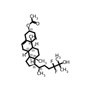 CC(=O)O[C@H]1CC[C@@]2(C)C(=CC[C@H]3[C@@H]4CC[C@H]([C@H](C)CCC(F)(F)C(C)(C)O)[C@@]4(C)CC[C@@H]32)C1